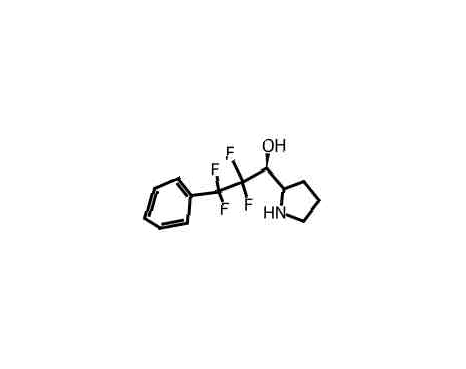 O[C@@H](C1CCCN1)C(F)(F)C(F)(F)c1ccccc1